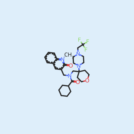 Cn1c(=O)c(CN(CC2(N3CCN(CC(F)(F)F)CC3)CCOCC2)C(=O)C2CCCCC2)cc2ccccc21